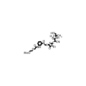 CCn1c(=C=C(C#N)C(=O)NC(C)(C)CO)sc(=C=CNc2cccc(NC(=O)COCCOC)c2)c1=O